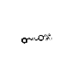 CS(=O)(=O)OC1CCC(COCCc2ccccc2)CC1